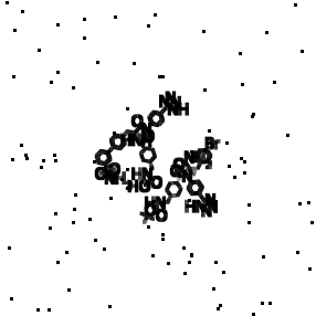 CC(C)(C)OC(=O)NC[C@H]1CC[C@H](C(=O)N(c2ccc(-c3nnn[nH]3)cc2)[C@@H](Cc2ccc(Br)cc2)C(N)=O)CC1.NS(=O)(=O)c1cccc(-c2ccc(C[C@H](NC(=O)[C@H]3CC[C@H](CNC(=O)O)CC3)C(=O)Nc3ccc(-c4nnn[nH]4)cc3)cc2)c1